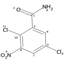 NC(=O)c1cc(Cl)cc([N+](=O)[O-])c1Cl